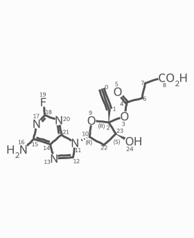 C#C[C@]1(OC(=O)CCC(=O)O)O[C@@H](n2cnc3c(N)nc(F)nc32)C[C@@H]1O